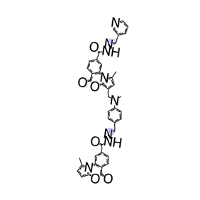 Cc1ccc2oc(=O)c3ccc(C(=O)N/N=C/c4ccc(N(C)Cc5cc(C)n6c5oc(=O)c5ccc(C(=O)N/N=C/c7cccnc7)cc56)cc4)cc3n12